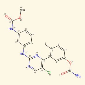 Cc1ccc(OC(N)=O)cc1-c1nc(Nc2cccc(NC(=O)OC(C)(C)C)c2)ncc1Cl